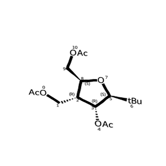 CC(=O)OC[C@H]1[C@@H](OC(C)=O)[C@H](C(C)(C)C)O[C@@H]1COC(C)=O